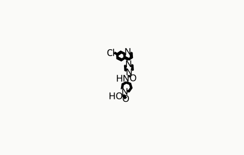 O=C(O)N1CCCC(NC(=O)N2CCN(c3ccnc4cc(Cl)ccc34)CC2)CC1